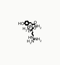 CN(N)[C@@H](CCCNC(N)N)C(=O)N[C@@H](Cc1ccc(O)cc1)C(N)=O